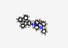 c1ccc(N(c2ccccc2)c2cccc3sc4ccc(Nc5ccc6c(c5)-c5ccccc5C6(c5ccccc5)c5ccccc5)cc4c23)cc1